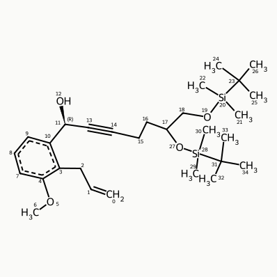 C=CCc1c(OC)cccc1[C@@H](O)C#CCCC(CO[Si](C)(C)C(C)(C)C)O[Si](C)(C)C(C)(C)C